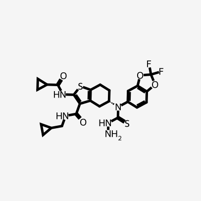 NNC(=S)N(c1ccc2c(c1)OC(F)(F)O2)[C@H]1CCc2sc(NC(=O)C3CC3)c(C(=O)NCC3CC3)c2C1